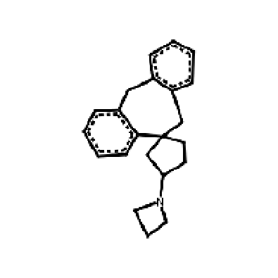 c1ccc2c(c1)Cc1ccccc1C1(CCC(N3CCC3)C1)C2